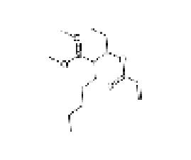 C=CC(=O)OC(CC)C(CCCCC)[SiH](OC)OC